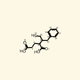 O=C(O)CCC(C(=O)O)C(CS)Cc1ccccc1